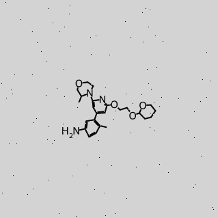 Cc1ccc(N)cc1-c1cc(OCCOC2CCCCO2)nc(N2CCOCC2C)c1